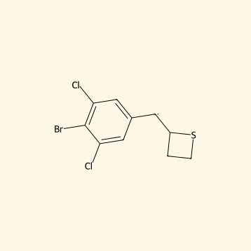 Clc1cc([CH]C2CCS2)cc(Cl)c1Br